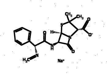 C=N[C@@H](C(=O)N[C@@H]1C(=O)N2[C@@H]1SC(C)(C)[C@@H]2C(=O)[O-])c1ccccc1.[Na+]